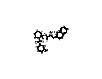 CC1(OC(=O)[C@@H](N)Cc2ccc3ccccc3c2)CCCCN1S(=O)(=O)c1cccc(F)c1